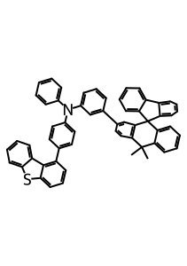 CC1(C)c2ccccc2C2(c3ccccc3-c3ccccc32)c2cc(-c3cccc(N(c4ccccc4)c4ccc(-c5cccc6sc7ccccc7c56)cc4)c3)ccc21